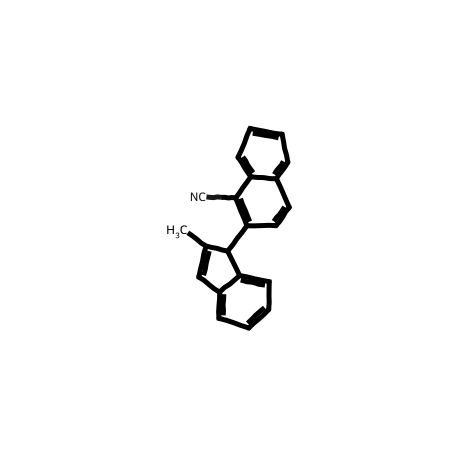 CC1=Cc2ccccc2C1c1ccc2ccccc2c1C#N